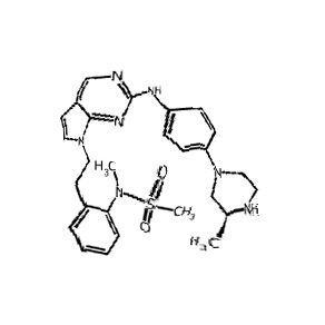 C[C@H]1CN(c2ccc(Nc3ncc4ccn(CCc5ccccc5N(C)S(C)(=O)=O)c4n3)cc2)CCN1